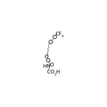 O=C(O)CCNC(=O)c1ccc(OCCCCCCc2ccc(-c3ccc(C(F)(F)F)cc3)cc2)cc1